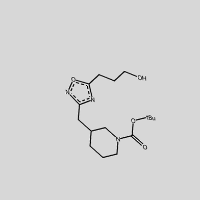 CC(C)(C)OC(=O)N1CCCC(Cc2noc(CCCO)n2)C1